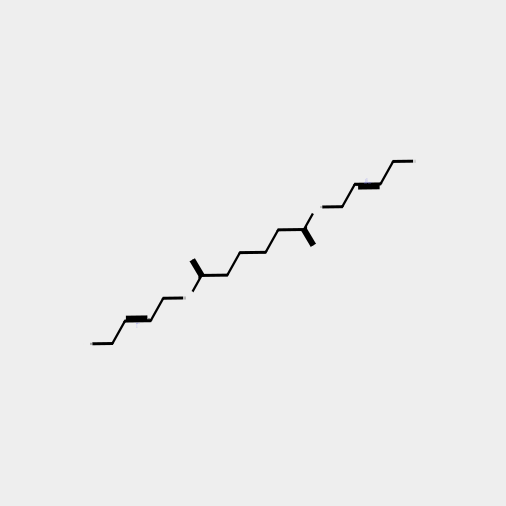 O=C(CCCCC(=O)OC/C=C/CO)OC/C=C/CO